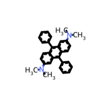 CN(C)c1ccc2c(-c3ccccc3)c3cc(N(C)C)ccc3c(-c3ccccc3)c2c1